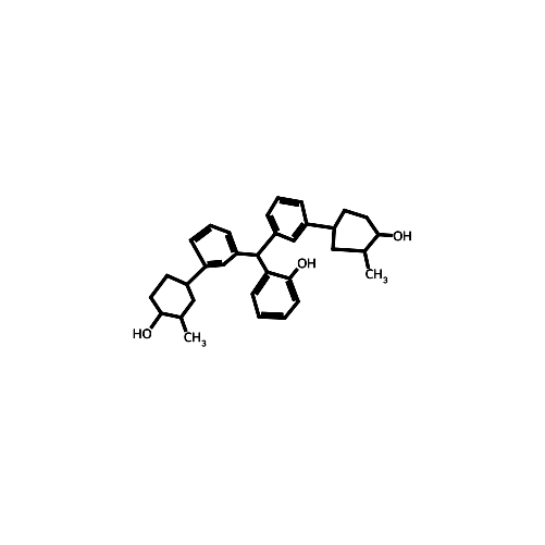 CC1CC(c2cccc(C(c3cccc(C4CCC(O)C(C)C4)c3)c3ccccc3O)c2)CCC1O